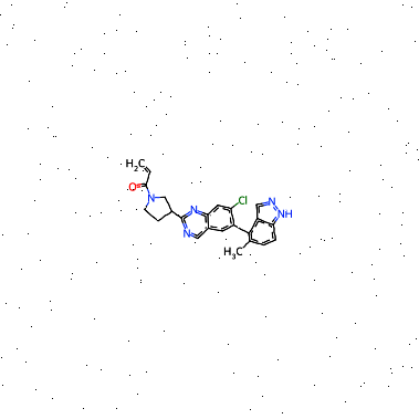 C=CC(=O)N1CCC(c2ncc3cc(-c4c(C)ccc5[nH]ncc45)c(Cl)cc3n2)C1